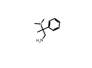 CN(C)C(C)(CN)c1ccccc1